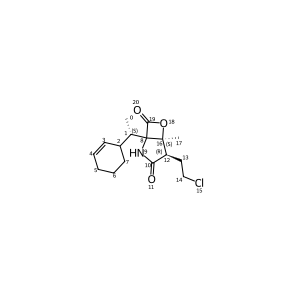 C[C@@H](C1C=CCCC1)C12NC(=O)[C@H](CCCl)[C@]1(C)OC2=O